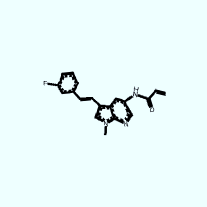 C=CC(=O)Nc1cnc2c(c1)c(C=Cc1cccc(F)c1)cn2C